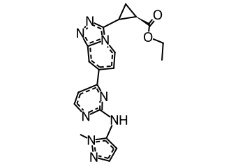 CCOC(=O)[C@@H]1CC1c1nnc2cc(-c3ccnc(Nc4ccnn4C)n3)ccn12